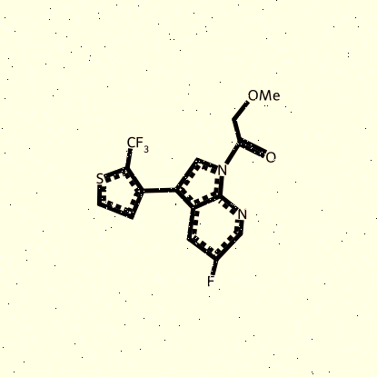 COCC(=O)n1cc(-c2ccsc2C(F)(F)F)c2cc(F)cnc21